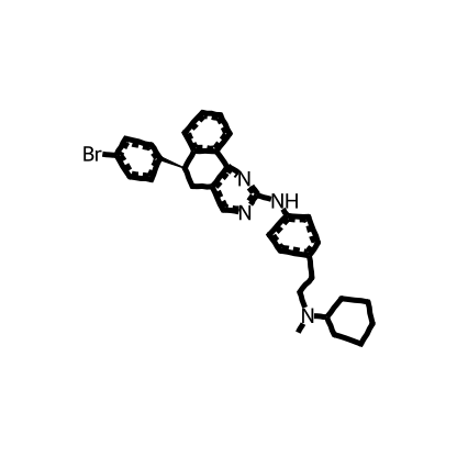 CN(CCc1ccc(Nc2ncc3c(n2)-c2ccccc2[C@H](c2ccc(Br)cc2)C3)cc1)C1CCCCC1